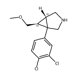 COC[C@H]1[C@@H]2CNCC21c1ccc(Cl)c(Cl)c1